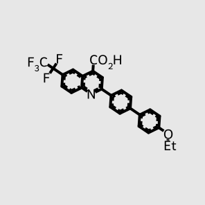 CCOc1ccc(-c2ccc(-c3cc(C(=O)O)c4cc(C(F)(F)C(F)(F)F)ccc4n3)cc2)cc1